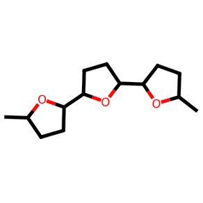 CC1CCC(C2CCC(C3CCC(C)O3)O2)O1